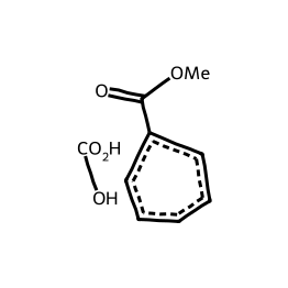 COC(=O)c1ccccc1.O=C(O)O